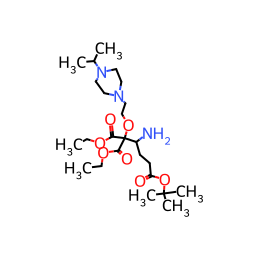 CCOC(=O)C(OCCN1CCN(C(C)C)CC1)(C(=O)OCC)C(N)CCC(=O)OC(C)(C)C